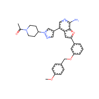 COc1ccc(COc2cccc(-c3cc4c(-c5cnn(C6CCN(C(C)=O)CC6)c5)cnc(N)c4o3)c2)cc1